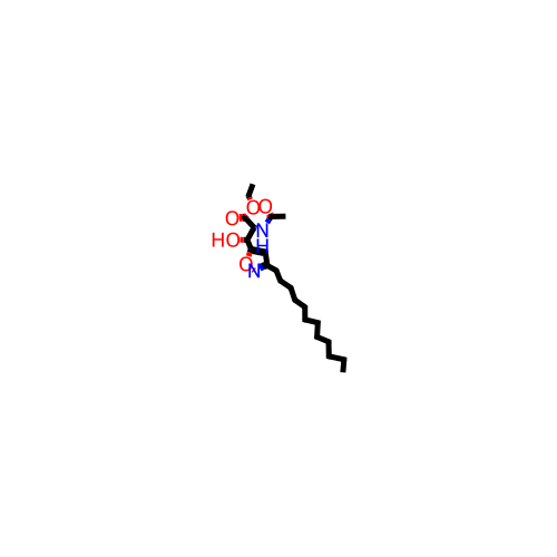 CCCCCCCCCCCCc1cc(C(O)C(NC(C)=O)C(=O)OCC)on1